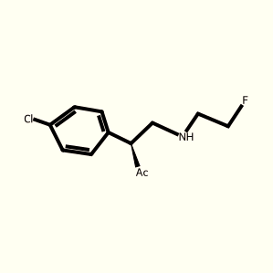 CC(=O)[C@H](CNCCF)c1ccc(Cl)cc1